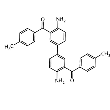 Cc1ccc(C(=O)c2cc(-c3ccc(N)c(C(=O)c4ccc(C)cc4)c3)ccc2N)cc1